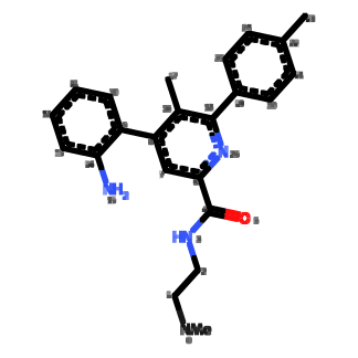 CNCCNC(=O)c1cc(-c2ccccc2N)c(C)c(-c2ccc(C)cc2)n1